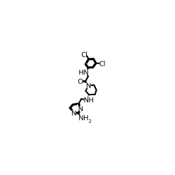 Nc1nccc(CN[C@H]2CCCN(C(=O)CNc3cc(Cl)cc(Cl)c3)C2)n1